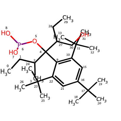 CCC(C)C(OP(O)O)(c1c(C(C)(C)C)cc(C(C)(C)C)cc1C(C)(C)C)C(CC)CO